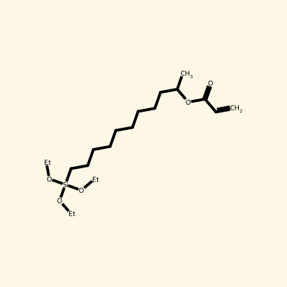 C=CC(=O)OC(C)CCCCCCCCC[Si](OCC)(OCC)OCC